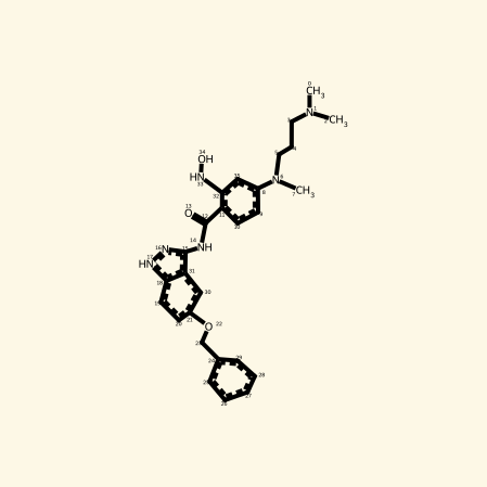 CN(C)CCCN(C)c1ccc(C(=O)Nc2n[nH]c3ccc(OCc4ccccc4)cc23)c(NO)c1